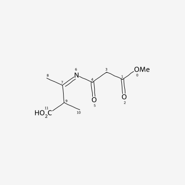 COC(=O)CC(=O)N=C(C)C(C)C(=O)O